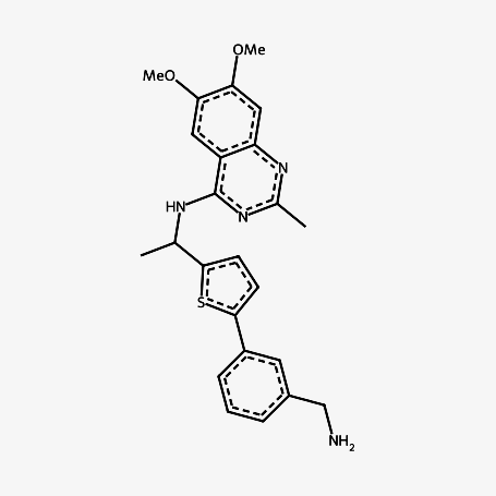 COc1cc2nc(C)nc(NC(C)c3ccc(-c4cccc(CN)c4)s3)c2cc1OC